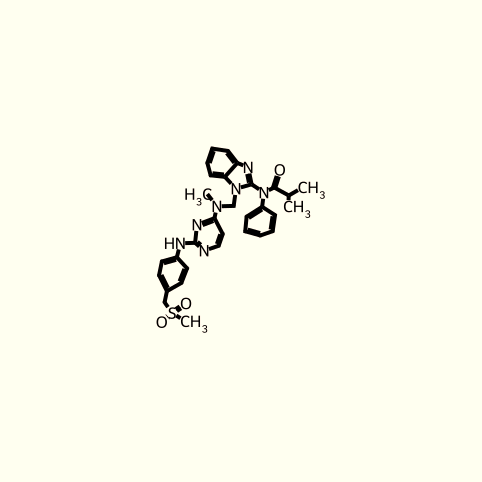 CC(C)C(=O)N(c1ccccc1)c1nc2ccccc2n1CN(C)c1ccnc(Nc2ccc(CS(C)(=O)=O)cc2)n1